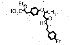 CCO[C@@H](Cc1ccc(OC(C)CC(=O)NCCc2ccc(CC)cc2)cc1)C(=O)O